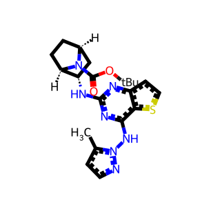 Cc1ccnn1Nc1nc(N[C@H]2C[C@@H]3CC[C@H]2N3C(=O)OC(C)(C)C)nc2ccsc12